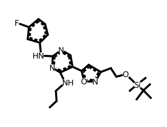 CCCNc1nc(Nc2cccc(F)c2)ncc1-c1cc(CCO[Si](C)(C)C(C)(C)C)no1